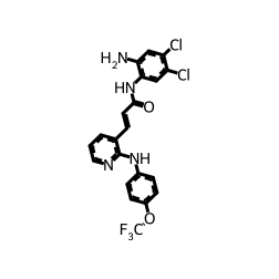 Nc1cc(Cl)c(Cl)cc1NC(=O)/C=C/c1cccnc1Nc1ccc(OC(F)(F)F)cc1